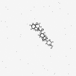 CCN1CCC(c2nc3ccc(C(=O)N[C@H]4CCOc5ccccc54)cc3s2)CC1